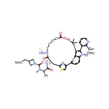 CCn1c(-c2cccnc2[C@H](C)OC)c2c3cc(ccc31)-c1csc(n1)C[C@H](NC(=O)C(C(C)C)N(C)C(=O)N1CC(COC)C1)C(=O)N(NF)CCCCC(=O)OCC(C)(C)C2